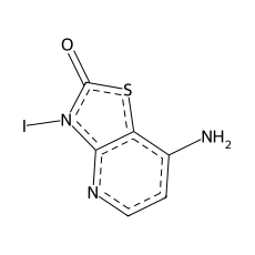 Nc1ccnc2c1sc(=O)n2I